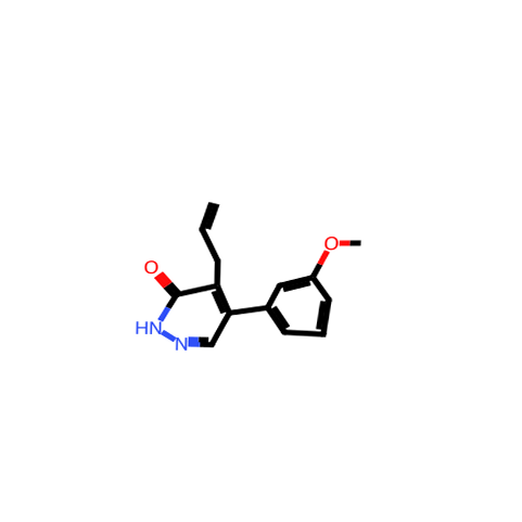 C=CCc1c(-c2cccc(OC)c2)cn[nH]c1=O